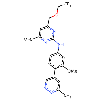 CNc1cc(COCC(F)(F)F)nc(Nc2ccc(-c3cnnc(C)c3)c(OC)c2)n1